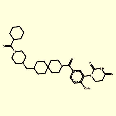 COc1ccc(C(=O)N2CCC3(CCC(CN4CCN(C(=O)C5CCCCC5)CC4)CC3)CC2)cc1N1CCC(=O)NC1=O